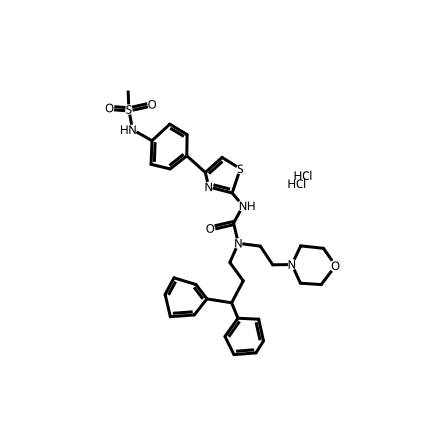 CS(=O)(=O)Nc1ccc(-c2csc(NC(=O)N(CCC(c3ccccc3)c3ccccc3)CCN3CCOCC3)n2)cc1.Cl.Cl